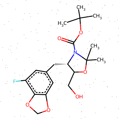 CC(C)(C)OC(=O)N1[C@@H](Cc2cc(F)c3c(c2)OCO3)C(CO)OC1(C)C